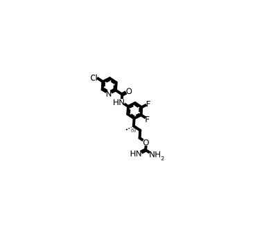 C[C@@H](CCOC(=N)N)c1cc(NC(=O)c2ccc(Cl)cn2)cc(F)c1F